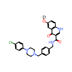 CCOc1ccc2[nH]cc(C(=O)NCc3ccc(CN4CCN(c5ccc(Cl)cc5)CC4)cc3)c(=O)c2c1